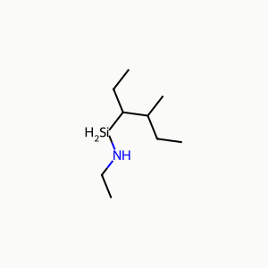 CCN[SiH2]C(CC)C(C)CC